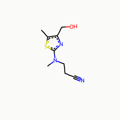 Cc1sc(N(C)CCC#N)nc1CO